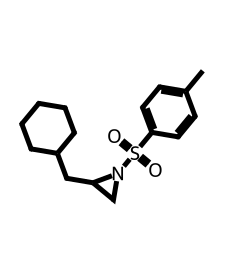 Cc1ccc(S(=O)(=O)N2CC2CC2CCCCC2)cc1